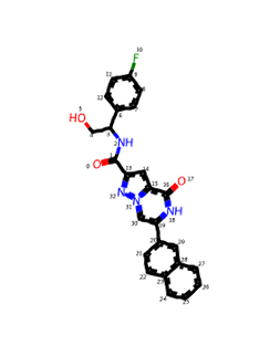 O=C(NC(CO)c1ccc(F)cc1)c1cc2c(=O)[nH]c(-c3ccc4ccccc4c3)cn2n1